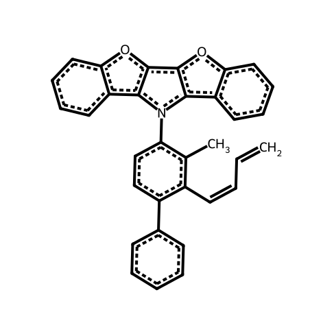 C=C/C=C\c1c(-c2ccccc2)ccc(-n2c3c4ccccc4oc3c3oc4ccccc4c32)c1C